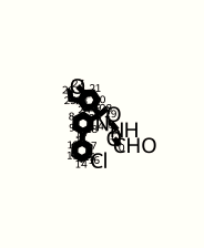 O=CONC1=NC(c2cccc(-c3cccc(Cl)c3)c2)(c2ccc3c(c2)CCO3)CO1